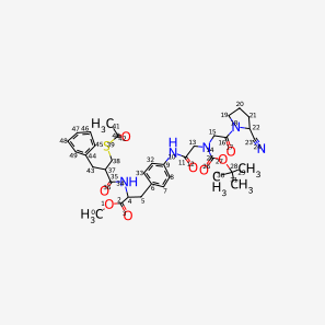 COC(=O)C(Cc1ccc(NC(=O)CN(CC(=O)N2CCCC2C#N)C(=O)OC(C)(C)C)cc1)NC(=O)C(CSC(C)=O)Cc1ccccc1